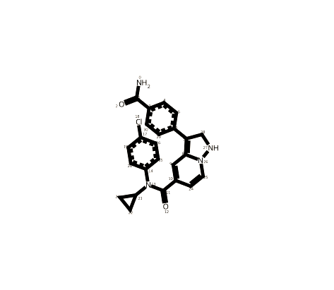 NC(=O)c1ccc(C2=C3C=C(C(=O)N(c4ccc(Cl)cc4)C4CC4)C=CN3NC2)cc1